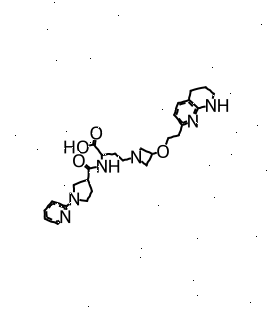 O=C(NC(CCN1CC(OCCc2ccc3c(n2)NCCC3)C1)C(=O)O)C1CCN(c2ccccn2)C1